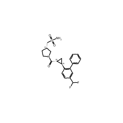 NS(=O)(=O)C[C@H]1CCN(C(=O)[C@@H]2C[C@H]2c2ccc(C(F)F)cc2-c2ccccc2)C1